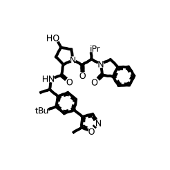 Cc1oncc1-c1ccc(C(C)NC(=O)C2CC(O)CN2C(=O)C(C(C)C)N2Cc3ccccc3C2=O)c(C(C)(C)C)c1